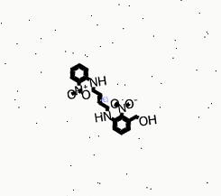 O=[N+]([O-])c1ccccc1NC/C=C/CNc1cccc(CO)c1[N+](=O)[O-]